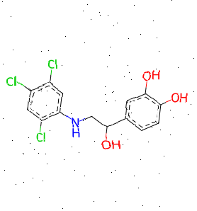 Oc1ccc(C(O)CNc2cc(Cl)c(Cl)cc2Cl)cc1O